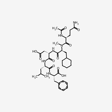 CC(=O)N[C@@H](CCC(N)=O)C(=O)N(C)[C@@H](CC1CCCCC1)C(=O)N[C@@H](CC(=O)O)C(=O)N[C@@H](CC(C)C)C(=O)N[C@@H](Cc1ccccc1)C(=O)O